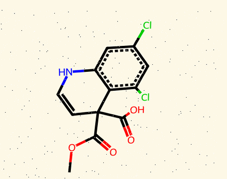 COC(=O)C1(C(=O)O)C=CNc2cc(Cl)cc(Cl)c21